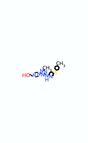 Cc1ccc(Sc2ccc(Nc3nc(C)nc(N4CCN(CCO)CC4)n3)nc2)cc1